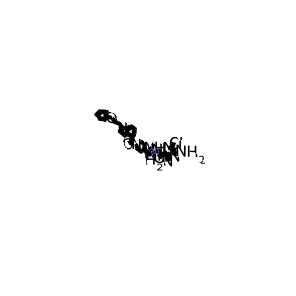 Nc1nc(N)c(C(=O)/N=C2\NCC3(CCN(C(=O)c4cccc5c4ccn5CCOc4ccccc4)CC3)N2)nc1Cl